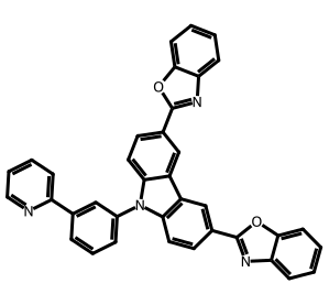 c1ccc(-c2cccc(-n3c4ccc(-c5nc6ccccc6o5)cc4c4cc(-c5nc6ccccc6o5)ccc43)c2)nc1